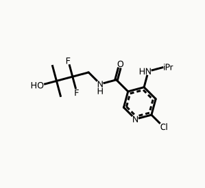 CC(C)Nc1cc(Cl)ncc1C(=O)NCC(F)(F)C(C)(C)O